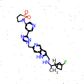 CC(NCc1cc2cnc(Cn3cnc(-c4cncc(N5CCCS5(=O)=O)c4)n3)cc2[nH]1)[C@@H]1CC2(F)CC1C2